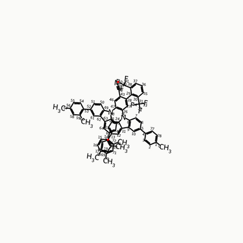 Cc1ccc(-c2ccc3c(c2)c2cc(-c4ccc(C)cc4C)ccc2n3-c2cc(-c3c(C(F)(F)F)cccc3C(F)(F)F)c(C#N)cc2-n2c3ccc(-c4ccc(C)cc4C)cc3c3cc(-c4ccc(C)cc4C)ccc32)cc1